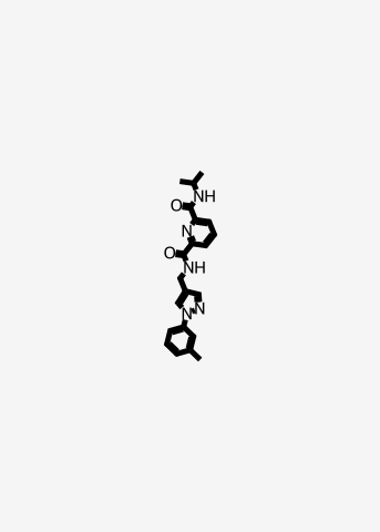 Cc1cccc(-n2cc(CNC(=O)c3cccc(C(=O)NC(C)C)n3)cn2)c1